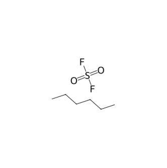 CCCCCC.O=S(=O)(F)F